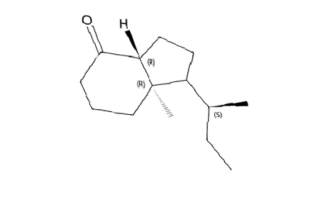 CC[C@H](C)C1CC[C@H]2C(=O)CCC[C@]12C